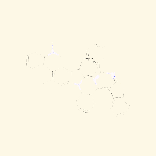 Cc1cc2c(cc1-c1ccccc1N(C)C)c1ccccc1n2-c1ccccc1-c1nc(-c2ccccc2)nc2sc3ccccc3c12